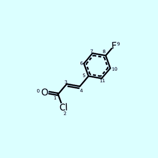 O=C(Cl)C=Cc1ccc(F)cc1